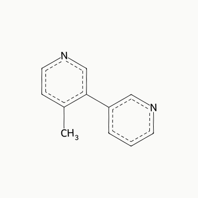 Cc1ccncc1-c1cccnc1